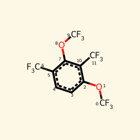 FC(F)(F)Oc1ccc(C(F)(F)F)c(OC(F)(F)F)c1C(F)(F)F